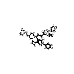 O=C(NS(=O)(=O)C1CCOC1)c1cc(N2CCC(CCN3CCOCC3)CC2)c2c(C3CCC3)nn(-c3ccc(F)cc3)c2n1